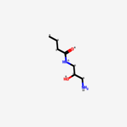 CCCC(=O)NCC(O)CN